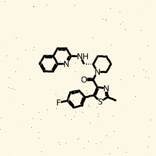 Cc1nc(C(=O)N2CCCC[C@H]2CNc2ccc3ccccc3n2)c(-c2ccc(F)cc2)s1